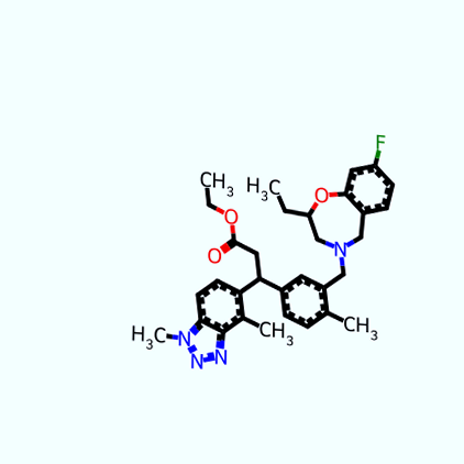 CCOC(=O)CC(c1ccc(C)c(CN2Cc3ccc(F)cc3OC(CC)C2)c1)c1ccc2c(nnn2C)c1C